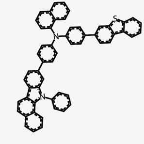 c1ccc(-n2c3cc(-c4ccc(N(c5ccc(-c6ccc7c(c6)sc6ccccc67)cc5)c5cccc6ccccc56)cc4)ccc3c3ccc4ccccc4c32)cc1